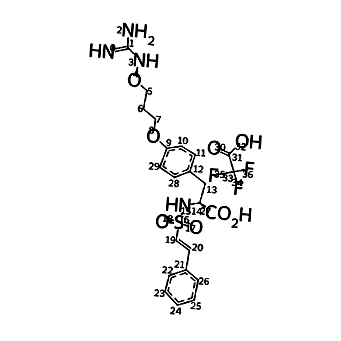 N=C(N)NOCCCOc1ccc(C[C@H](NS(=O)(=O)/C=C/c2ccccc2)C(=O)O)cc1.O=C(O)C(F)(F)F